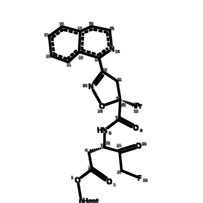 CCCCCCCOC(=O)C[C@H](NC(=O)[C@]1(C(C)C)CC(c2nccc3ccccc23)=NO1)C(=O)CF